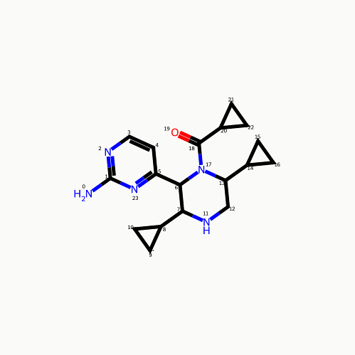 Nc1nccc(C2C(C3[CH]C3)NCC(C3CC3)N2C(=O)C2CC2)n1